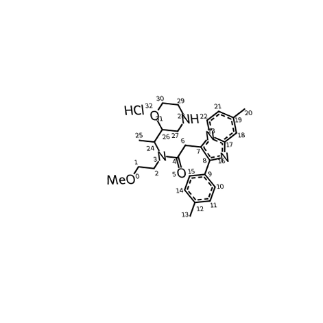 COCCN(C(=O)Cc1c(-c2ccc(C)cc2)nc2cc(C)ccn12)C(C)C1CNCCO1.Cl